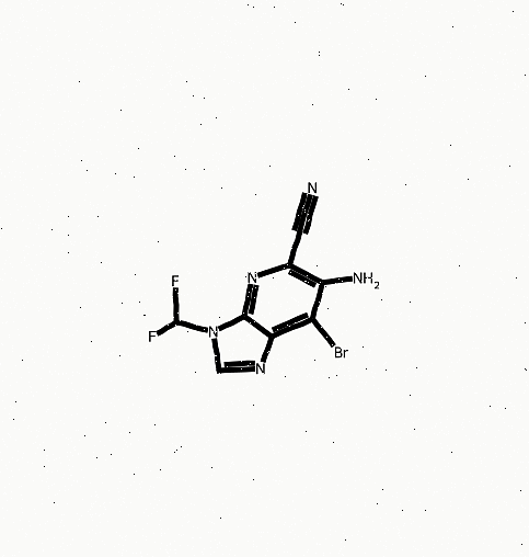 N#Cc1nc2c(ncn2C(F)F)c(Br)c1N